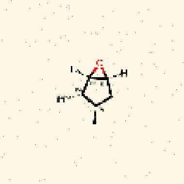 CC(C)[C@@H]1[C@H]2O[C@H]2C[C@H]1C